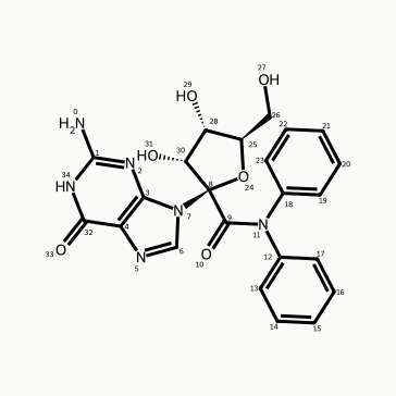 Nc1nc2c(ncn2[C@]2(C(=O)N(c3ccccc3)c3ccccc3)O[C@H](CO)[C@@H](O)[C@H]2O)c(=O)[nH]1